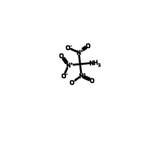 NC([N+](=O)[O-])([N+](=O)[O-])[N+](=O)[O-]